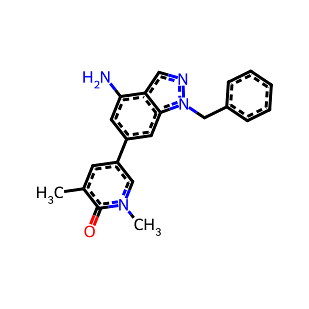 Cc1cc(-c2cc(N)c3cnn(Cc4ccccc4)c3c2)cn(C)c1=O